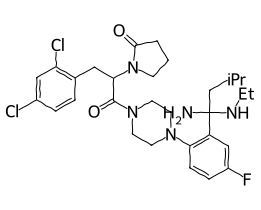 CCNC(N)(CC(C)C)c1cc(F)ccc1N1CCN(C(=O)C(Cc2ccc(Cl)cc2Cl)N2CCCC2=O)CC1